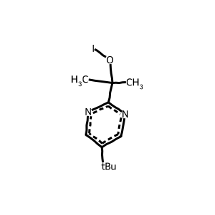 CC(C)(C)c1cnc(C(C)(C)OI)nc1